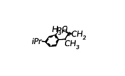 C=C(C)C(C)c1ccc(C(C)C)cc1P